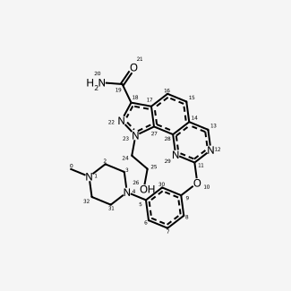 CN1CCN(c2cccc(Oc3ncc4ccc5c(C(N)=O)nn(CCO)c5c4n3)c2)CC1